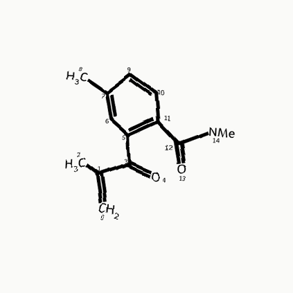 C=C(C)C(=O)c1cc(C)ccc1C(=O)NC